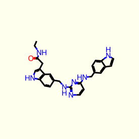 CCNC(=O)Cc1c[nH]c2ccc(CNc3nccc(NCc4ccc5[nH]ccc5c4)n3)cc12